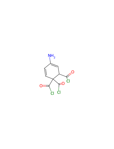 NC1=CC(C(=O)Cl)C(C(=O)Cl)(C(=O)Cl)C=C1